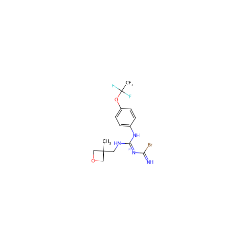 CC1(CN/C(=N/C(=N)Br)Nc2ccc(OC(F)(F)C(F)(F)F)cc2)COC1